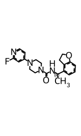 C[C@@H](NC(=O)N1CCN(c2ccnc(F)c2)CC1)c1cccc2c1CCO2